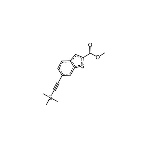 COC(=O)c1cc2ccc(C#C[Si](C)(C)C)cc2s1